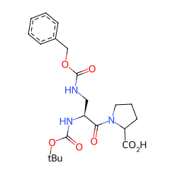 CC(C)(C)OC(=O)N[C@@H](CNC(=O)OCc1ccccc1)C(=O)N1CCCC1C(=O)O